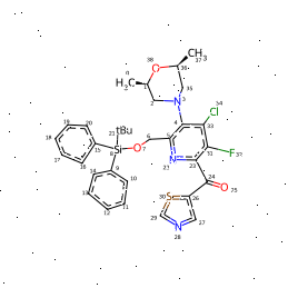 C[C@@H]1CN(c2c(CO[Si](c3ccccc3)(c3ccccc3)C(C)(C)C)nc(C(=O)c3cncs3)c(F)c2Cl)C[C@H](C)O1